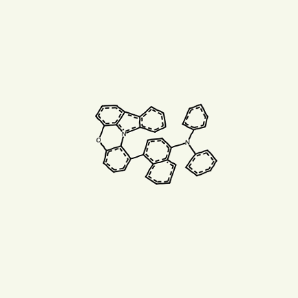 c1ccc(N(c2ccccc2)c2ccc(-c3cccc4c3-n3c5ccccc5c5cccc(c53)O4)c3ccccc23)cc1